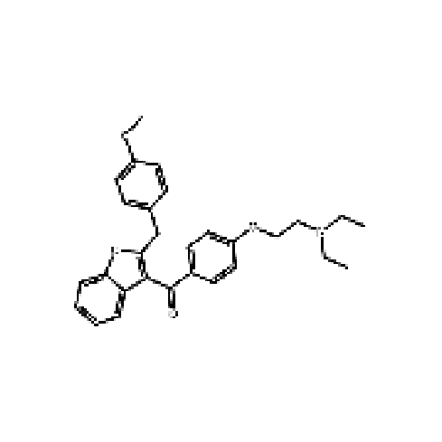 CCN(CC)CCOc1ccc(C(=O)c2c(Cc3ccc(OC)cc3)oc3ccccc23)cc1